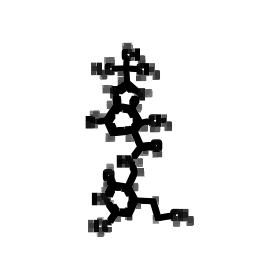 CCCc1cc(C)[nH]c(=O)c1CNC(=O)c1cc(Br)c2sc(C(C)(C)C)nc2c1C